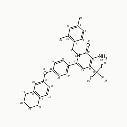 Cc1ccc(Cn2c(-c3ccc(Oc4ccc5c(c4)CCCC5)cc3)cc(C(F)(F)F)c(N)c2=O)c(C)c1